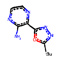 CC(C)(C)c1nnc(-c2nccnc2N)o1